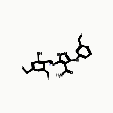 NC(=O)c1c(Nc2cccc(CI)c2)n[nH]c1/N=C/c1c(O)cc(CI)cc1CI